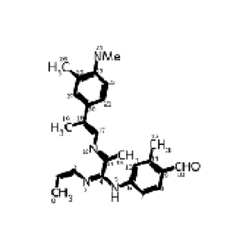 C\C=C/N=C(Nc1ccc(C=O)c(C)c1)\C(C)=N\C=C(/C)c1ccc(NC)c(C)c1